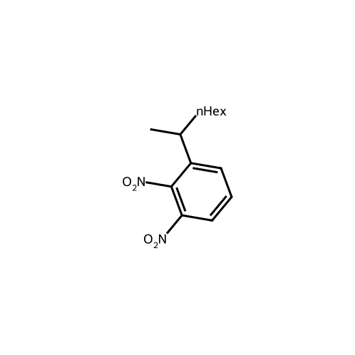 CCCCCCC(C)c1cccc([N+](=O)[O-])c1[N+](=O)[O-]